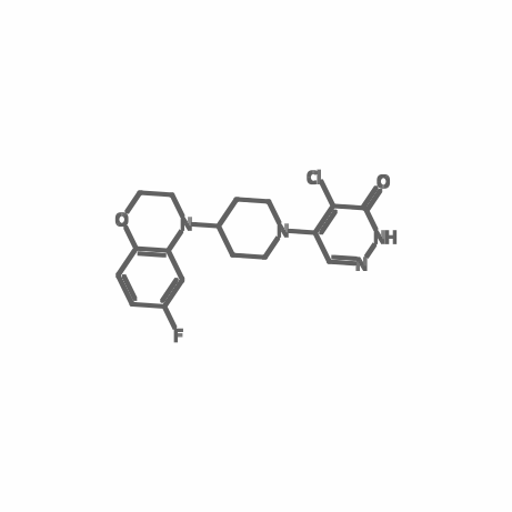 O=c1[nH]ncc(N2CCC(N3CCOc4ccc(F)cc43)CC2)c1Cl